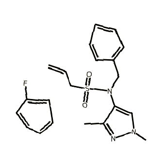 C=CCS(=O)(=O)N(Cc1ccccc1)c1cn(C)nc1C.Fc1ccccc1